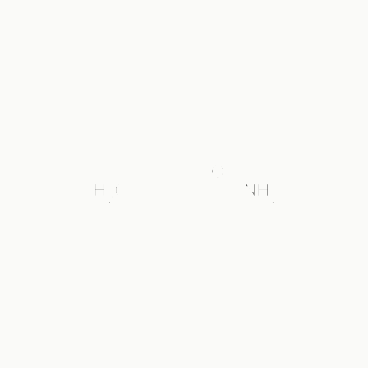 [CH2]CCON